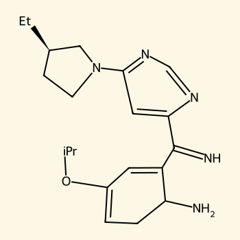 CC[C@@H]1CCN(c2cc(C(=N)C3=CC(OC(C)C)=CCC3N)ncn2)C1